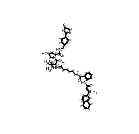 C/C(=C\C(=O)Nc1ccccc1C(=O)NCCCCCC(=O)NC(C(=O)N1C[C@H](O)CC1C(=O)NCc1ccc(-c2nc(C)cs2)cc1)C(C)(C)C)c1ccc2ccccc2c1